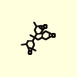 CC1CC(C(C)(CC2CCC3OC3C2)C2CC(C)C3OC3(C)C2)CC2(C)OC12